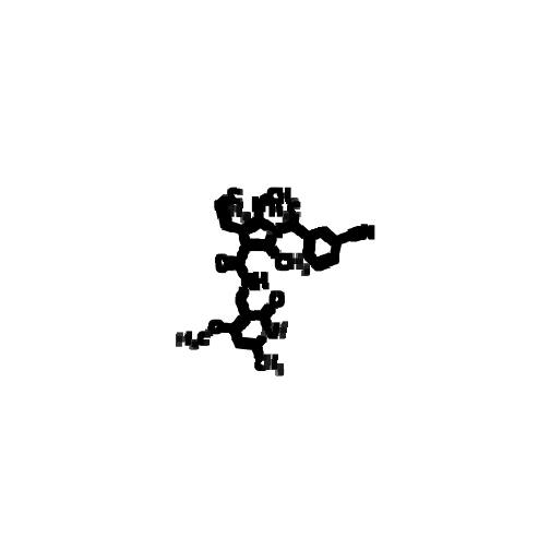 C=Nc1c(/C=C\C)c(C(=O)NCc2c(OC)cc(C)[nH]c2=O)c(C)n1C(C)c1cccc(C#N)c1